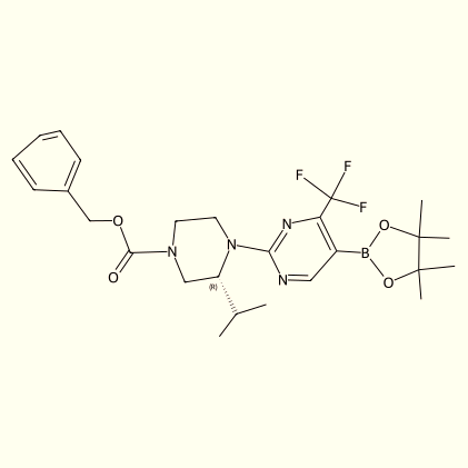 CC(C)[C@@H]1CN(C(=O)OCc2ccccc2)CCN1c1ncc(B2OC(C)(C)C(C)(C)O2)c(C(F)(F)F)n1